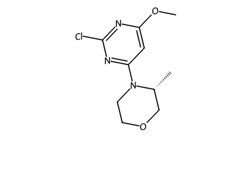 COc1cc(N2CCOC[C@H]2C)nc(Cl)n1